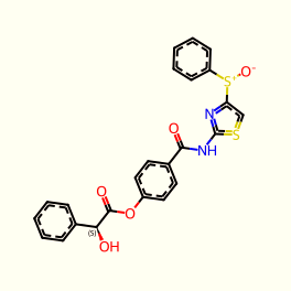 O=C(Nc1nc([S+]([O-])c2ccccc2)cs1)c1ccc(OC(=O)[C@@H](O)c2ccccc2)cc1